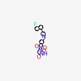 O=C1CCN(N2C(=O)c3ccc(CN4CC=C(c5cccc6c(F)cccc56)CC4)cc3C2=O)C(=O)N1